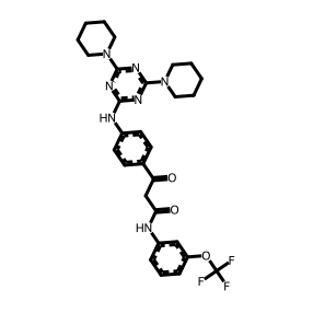 O=C(CC(=O)c1ccc(Nc2nc(N3CCCCC3)nc(N3CCCCC3)n2)cc1)Nc1cccc(OC(F)(F)F)c1